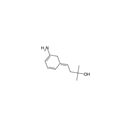 CC(C)(O)CC=C1C=CC=C(N)C1